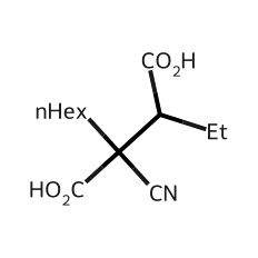 CCCCCCC(C#N)(C(=O)O)C(CC)C(=O)O